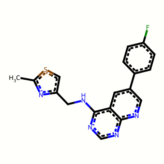 Cc1nc(CNc2ncnc3ncc(-c4ccc(F)cc4)cc23)cs1